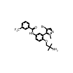 Cn1ncc(Br)c1-c1cc(NC(=O)c2cccc(C(F)(F)F)c2)ccc1OCC(C)(C)N